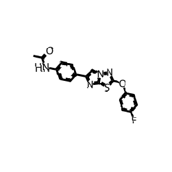 CC(=O)Nc1ccc(-c2cn3nc(Oc4ccc(F)cc4)sc3n2)cc1